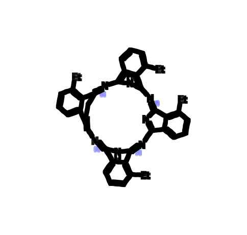 CCc1cccc2c1/C1=N/c3[nH]c(c4cccc(CC)c34)/N=C3\CC=C(/N=c4\[nH]/c(c5c(CC)cccc45)=N\C2=N1)c1cccc(CC)c13